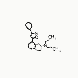 CCCN(CCC)C1CCc2cccc(-c3cc(-c4ccccc4)no3)c2C1